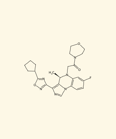 C[C@@H]1c2c(-c3noc(C4CCCC4)n3)ncn2-c2ccc(F)cc2N1CC(=O)N1CCOCC1